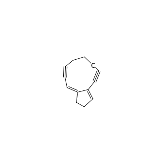 C1#CCCCC#CC2=CCCC2=C1